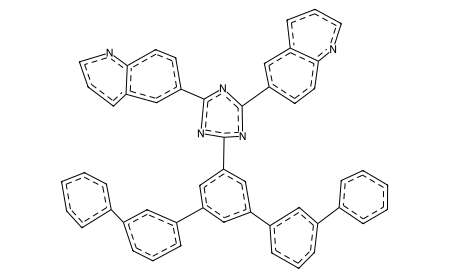 c1ccc(-c2cccc(-c3cc(-c4cccc(-c5ccccc5)c4)cc(-c4nc(-c5ccc6ncccc6c5)nc(-c5ccc6ncccc6c5)n4)c3)c2)cc1